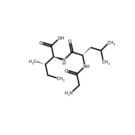 CC[C@H](C)[C@H](NC(=O)[C@H](CC(C)C)NC(=O)CN)C(=O)O